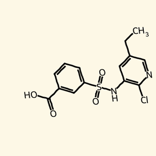 CCc1cnc(Cl)c(NS(=O)(=O)c2cccc(C(=O)O)c2)c1